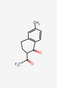 Cc1ccc2c(c1)CCC(C(=O)C(F)(F)F)C2=O